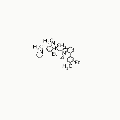 C=Nc1cc(C(=C)N2CCCCC2)cc(CC)c1N(C)Cc1cc2cccc(-c3ccc(C)c(CC)c3)c2n1C1CC1